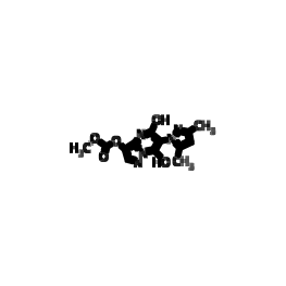 COC(=O)Oc1cnn2c(O)c(-n3nc(C)cc3C)c(O)nc12